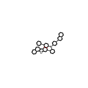 c1ccc(-c2ccc(N(c3ccc(-c4ccc5ccccc5c4)cc3)c3ccccc3-c3ccc4c(c3)oc3c5ccccc5ccc43)cc2)cc1